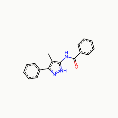 Cc1c(-c2ccccc2)n[nH]c1NC(=O)c1ccccc1